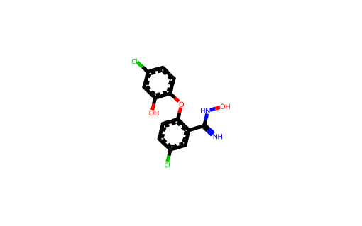 N=C(NO)c1cc(Cl)ccc1Oc1ccc(Cl)cc1O